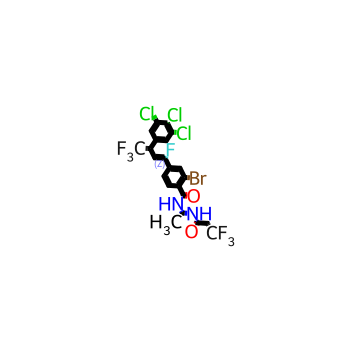 CC(NC(=O)CC(F)(F)F)NC(=O)c1ccc(/C(F)=C/C(c2cc(Cl)c(Cl)c(Cl)c2)C(F)(F)F)cc1Br